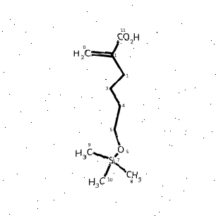 C=C(CCCCO[Si](C)(C)C)C(=O)O